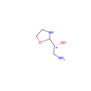 NC[C@@H](O)C1NCCO1